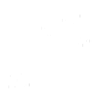 COc1cc2c(cc1C=Cc1ccc(COP(=O)(O)O)cc1)C(C)(C)CCC2(C)C